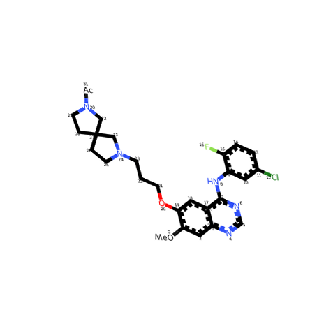 COc1cc2ncnc(Nc3cc(Cl)ccc3F)c2cc1OCCCN1CCC2(CCN(C(C)=O)C2)C1